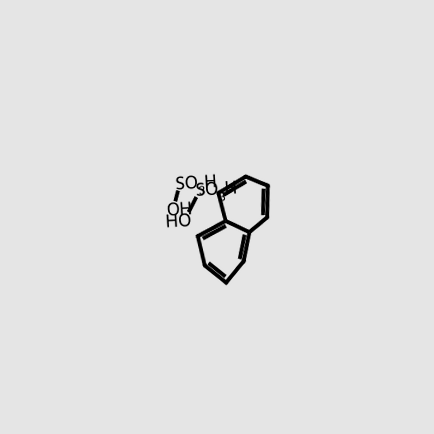 O=S(=O)(O)O.O=S(=O)(O)O.c1ccc2ccccc2c1